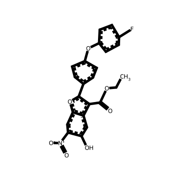 CCOC(=O)c1c(-c2ccc(Oc3ccc(F)cc3)cc2)oc2cc([N+](=O)[O-])c(O)cc12